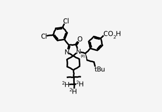 [2H]C([2H])([2H])C(C)(C)C1CCC2(CC1)N=C(c1cc(Cl)cc(Cl)c1)C(=O)N2[C@H](CCC(C)(C)C)c1ccc(C(=O)O)cc1